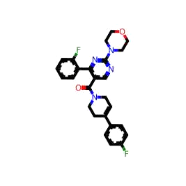 O=C(c1cnc(N2CCOCC2)nc1-c1ccccc1F)N1CC=C(c2ccc(F)cc2)CC1